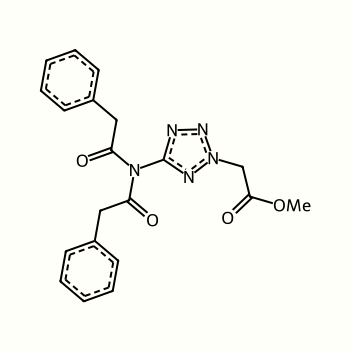 COC(=O)Cn1nnc(N(C(=O)Cc2ccccc2)C(=O)Cc2ccccc2)n1